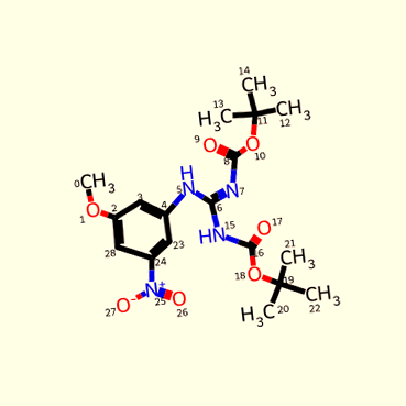 COc1cc(N/C(=N\C(=O)OC(C)(C)C)NC(=O)OC(C)(C)C)cc([N+](=O)[O-])c1